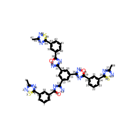 Cc1nsc(-c2cccc(-c3nc(-c4cc(-c5noc(-c6cccc(-c7nc(C)ns7)c6)n5)cc(-c5noc(-c6cccc(-c7nc(C)ns7)c6)n5)c4)no3)c2)n1